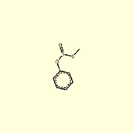 CSS(=O)Oc1ccccc1